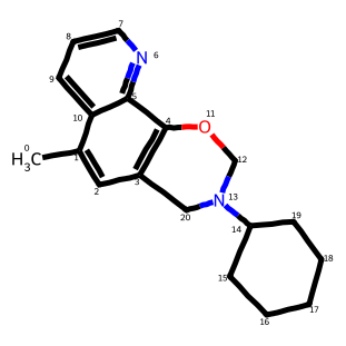 Cc1cc2c(c3ncccc13)OCN(C1CCCCC1)C2